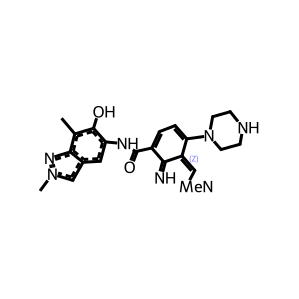 CN/C=C1\C(=N)C(C(=O)Nc2cc3cn(C)nc3c(C)c2O)=CC=C1N1CCNCC1